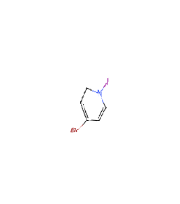 BrC1=CCN(I)C=C1